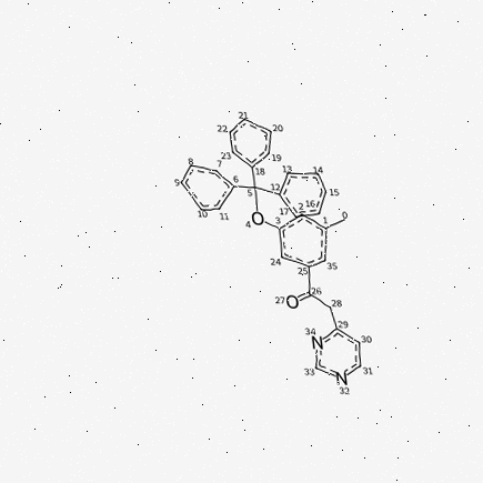 Cc1cc(OC(c2ccccc2)(c2ccccc2)c2ccccc2)cc(C(=O)Cc2ccncn2)c1